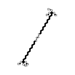 CCOC(CCCCCCCCCCCSSSSCCCCCCCCCCCC(OCC)(OCC)OCC)(OCC)OCC